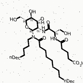 CCCCCCCCCCCCCCCCCC(=O)N(CCCCCCCCCCCCCC)[C@@H]1O[C@H](CO)[C@@H](O)[C@H](O)[C@@H]1NC(=O)[C@H](CO)NC(=O)CCCC(=O)O